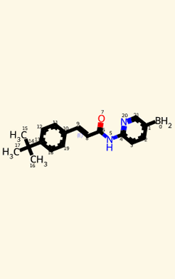 Bc1ccc(NC(=O)/C=C/c2ccc(C(C)(C)C)cc2)nc1